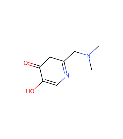 CN(C)CC1=NC=C(O)C(=O)C1